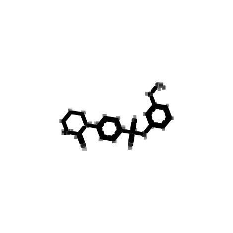 COc1cccc(OS(=O)(=O)c2ccc(N3CCCNC3=O)cc2)c1